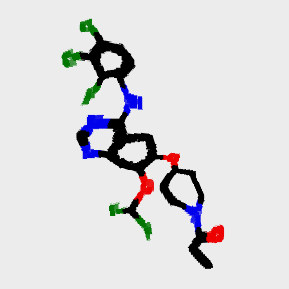 C=CC(=O)N1CCC(Oc2cc3c(Nc4ccc(Cl)c(Cl)c4F)ncnc3cc2OC(F)F)CC1